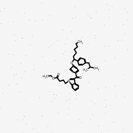 CCCCCCC(Oc1ccc(C(=O)c2cn(CCCC(=O)OCC)c3ccccc23)cc1)c1ccc(CC(C)C)cc1